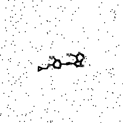 Nc1cc(C#Cc2c[nH]c3ncnc(N)c23)ccc1OCC1CC1